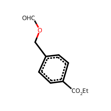 CCOC(=O)c1ccc(COC=O)cc1